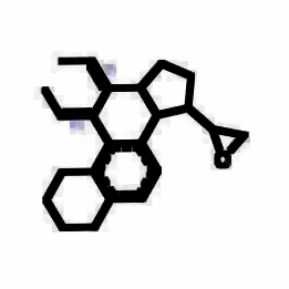 C/C=C1\C(=C/C)c2c(ccc3c2CCCC3)C2C1CCC2C1CO1